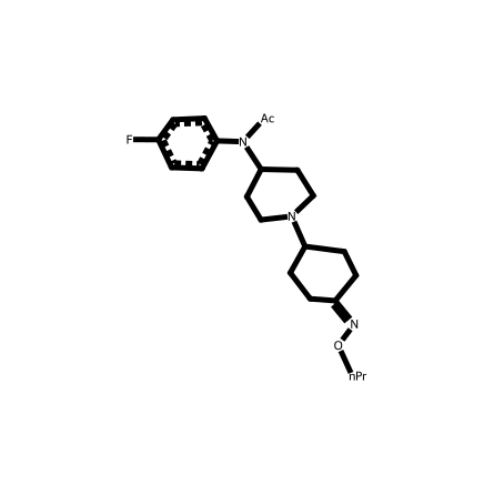 CCCON=C1CCC(N2CCC(N(C(C)=O)c3ccc(F)cc3)CC2)CC1